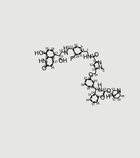 Cn1nc(C(=O)NCc2ccc(CNC[C@H](O)c3ccc(O)c4[nH]c(=O)ccc34)c(F)c2)cc1COc1cccc([C@@H](NC(=O)O[C@H]2CN3CCC2CC3)c2ccccc2)c1